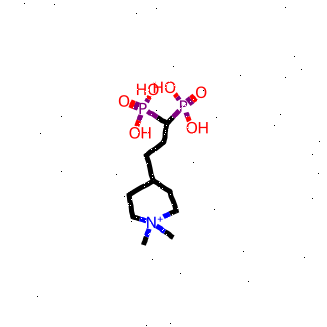 C[N+]1(C)CCC(CCC(P(=O)(O)O)P(=O)(O)O)CC1